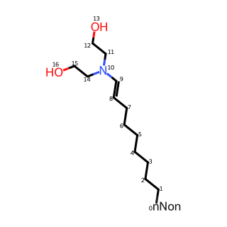 CCCCCCCCCCCCCCCC/C=C/N(CCO)CCO